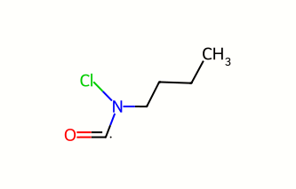 CCCCN(Cl)[C]=O